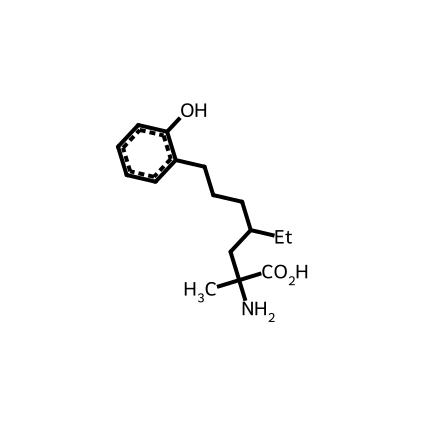 CCC(CCCc1ccccc1O)CC(C)(N)C(=O)O